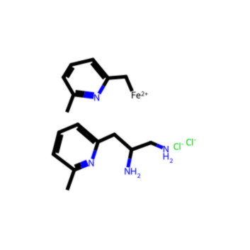 Cc1cccc(CC(N)CN)n1.Cc1cccc([CH2][Fe+2])n1.[Cl-].[Cl-]